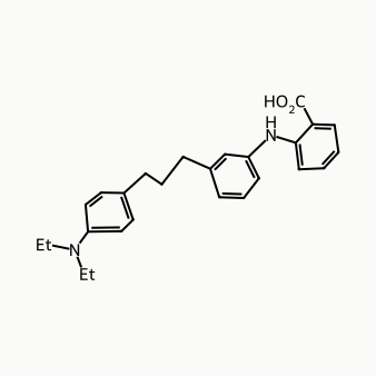 CCN(CC)c1ccc(CCCc2cccc(Nc3ccccc3C(=O)O)c2)cc1